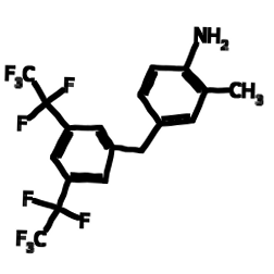 Cc1cc(Cc2cc(C(F)(F)C(F)(F)F)cc(C(F)(F)C(F)(F)F)c2)ccc1N